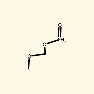 [C]OCO[PH2]=O